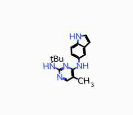 Cc1cnc(NC(C)(C)C)nc1Nc1ccc2[nH]ccc2c1